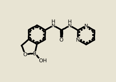 O=C(Nc1ccc2c(c1)B(O)OC2)Nc1ncccn1